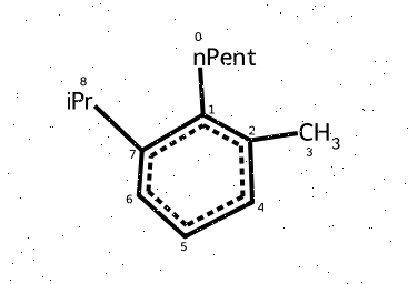 CCCCCc1c(C)cccc1C(C)C